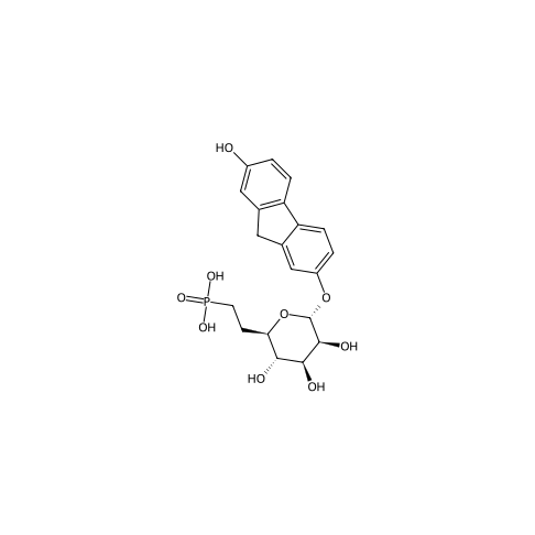 O=P(O)(O)CC[C@H]1O[C@H](Oc2ccc3c(c2)Cc2cc(O)ccc2-3)[C@@H](O)[C@@H](O)[C@@H]1O